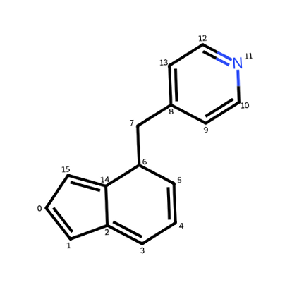 C1=CC2=CC=CC(Cc3ccncc3)C2=C1